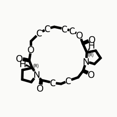 O=C1OCCCCCCOC(=O)[C@H]2CCCN2C(=O)CCCCC(=O)N2CCC[C@H]12